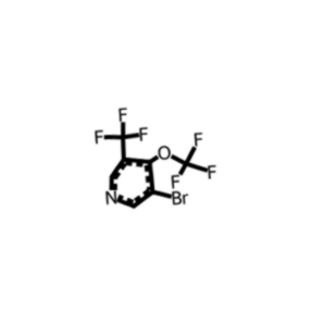 FC(F)(F)Oc1c(Br)cncc1C(F)(F)F